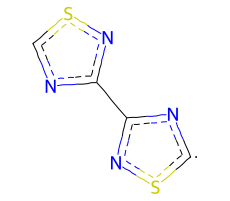 [c]1nc(-c2ncsn2)ns1